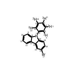 [2H]c1c([2H])c([2H])c(-n2c3ccccc3c3cc(Br)ccc32)c([2H])c1[2H]